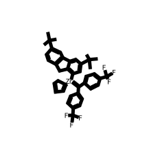 CC(C)(C)c1ccc2c(c1)-c1cc(C(C)(C)C)c[c]([Zr]([C]3=CC=CC3)=[C](c3ccc(C(F)(F)F)cc3)c3ccc(C(F)(F)F)cc3)c1C2